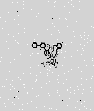 CCN(Cc1ccccc1COC)C(=O)C1=C(c2cccc(-c3ccccc3)c2)CCN(C(=O)OC(C)(C)C)C1